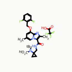 Cc1cc(OCc2c(F)cccc2F)c2nc(C)c(C(=O)NCC3(N(C(=O)O)C(C)(C)C)CC3)n2c1.O=C(O)C(F)(F)F